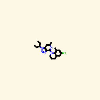 CCC(CC)n1nnc2c(N3CCCc4cc(Cl)cc(C)c43)nc(C)cc21